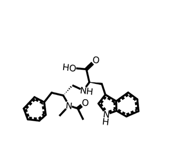 CC(=O)N(C)[C@@H](CN[C@H](Cc1c[nH]c2ccccc12)C(=O)O)Cc1ccccc1